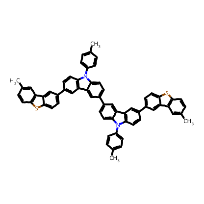 Cc1ccc(-n2c3ccc(-c4ccc5sc6ccc(C)cc6c5c4)cc3c3cc(-c4ccc5c(c4)c4cc(-c6ccc7sc8ccc(C)cc8c7c6)ccc4n5-c4ccc(C)cc4)ccc32)cc1